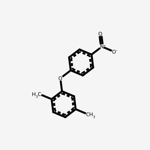 Cc1ccc(C)c(Oc2ccc([N+](=O)[O-])cc2)c1